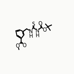 COC(=O)c1cccc(CNC(=S)NC(=O)OC(C)(C)C)c1